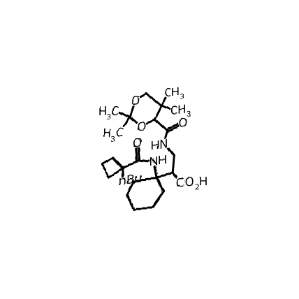 CCCCC1(C(=O)NC2(C(CNC(=O)C3OC(C)(C)OCC3(C)C)C(=O)O)CCCCC2)CCC1